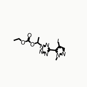 CCOC(=O)OC(C)n1nnc(-c2c(I)cnn2C)n1